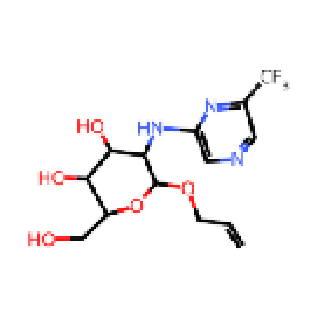 C=CCOC1OC(CO)C(O)C(O)C1Nc1cncc(C(F)(F)F)n1